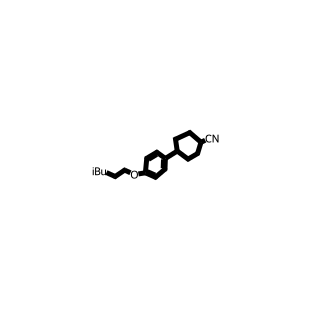 CCC(C)CCOc1ccc(C2CCC(C#N)CC2)cc1